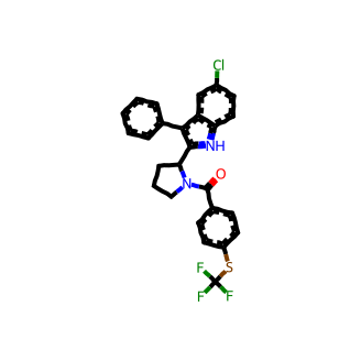 O=C(c1ccc(SC(F)(F)F)cc1)N1CCCC1c1[nH]c2ccc(Cl)cc2c1-c1ccccc1